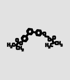 C=C(C)C(=O)OCCOc1ccc(-c2cccc(-c3ccc(OC(=O)C(=C)C)cc3)c2)cc1